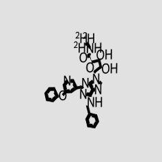 [2H]C([2H])([2H])NC(=O)[C@H]1O[C@@H](n2cnc3c(NCc4ccccc4)nc(-c4cncc(Oc5ccccc5)c4)nc32)[C@H](O)[C@@H]1O